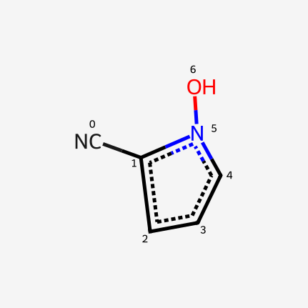 N#Cc1cccn1O